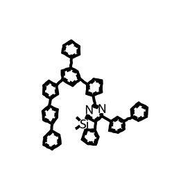 C[Si]1(C)c2ccccc2-c2c(-c3cccc(-c4ccccc4)c3)nc(-c3cccc(-c4cc(-c5ccccc5)cc(-c5cccc(-c6ccc(-c7ccccc7)cc6)c5)c4)c3)nc21